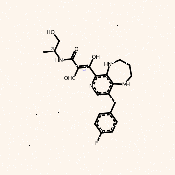 C[C@@H](CO)NC(=O)/C(C=O)=C(\O)c1ncc(Cc2ccc(F)cc2)c2c1NCCCN2